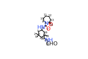 CC1(C)CC(NC(=O)N2CCCCCC2=O)CC(C)(CNC=O)C1